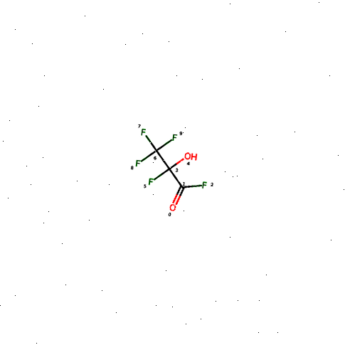 O=C(F)C(O)(F)C(F)(F)F